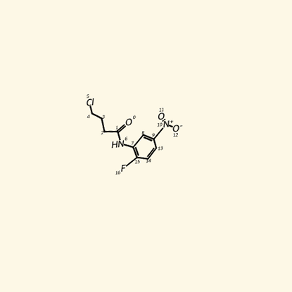 O=C(CCCCl)Nc1cc([N+](=O)[O-])ccc1F